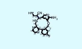 C[C@H]1Oc2cc(cnc2N)/C(=C(\C#N)C=N)NCc2nccnc2-c2ccc(F)cc21